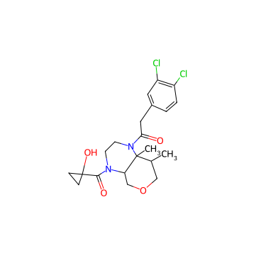 CC1COCC2N(C(=O)C3(O)CC3)CCN(C(=O)Cc3ccc(Cl)c(Cl)c3)C12C